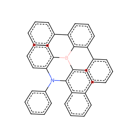 c1ccc(-c2cccc(-c3ccccc3)c2B2c3ccccc3N(c3ccccc3)c3c2ccc2ccccc32)cc1